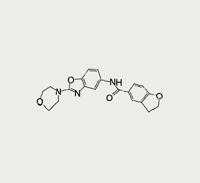 O=C(Nc1ccc2oc(N3CCOCC3)nc2c1)c1ccc2c(c1)CCO2